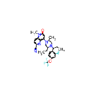 CCC1CN(c2cc(=O)n(C)c3ccc(C#N)nc23)[C@@H](C)CN1C(CC)c1ccc(OC(F)(F)F)cc1F